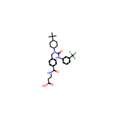 CC(C)(C)C1CCC(N(Cc2ccc(C(=O)NCCC(=O)O)cc2)C(=O)Nc2cccc(C(F)(F)F)c2)CC1